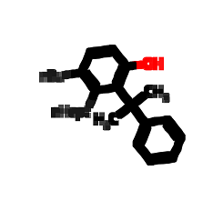 CCCCCCCc1c(CCCC)ccc(O)c1C(C)(C)c1ccccc1